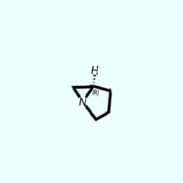 C1C[C@@H]2CN2C1